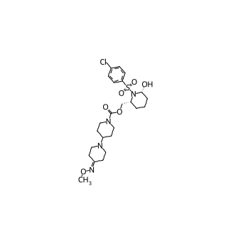 CON=C1CCN(C2CCN(C(=O)OC[C@H]3CCC[C@@H](O)N3S(=O)(=O)c3ccc(Cl)cc3)CC2)CC1